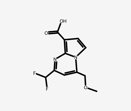 COCc1cc(C(F)F)nc2c(C(=O)O)ccn12